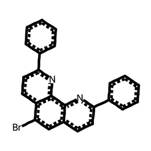 Brc1cc2ccc(-c3ccccc3)nc2c2nc(-c3ccccc3)ccc12